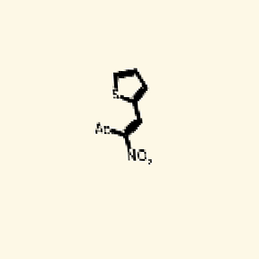 CC(=O)/C(=C\c1cccs1)[N+](=O)[O-]